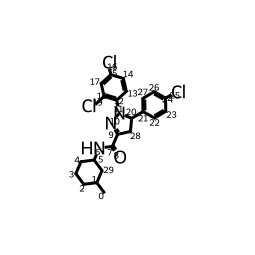 CC1CCCC(NC(=O)C2=NN(c3ccc(Cl)cc3Cl)C(c3ccc(Cl)cc3)C2)C1